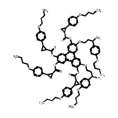 CCCCOc1ccc(C(C)CCOc2cc3c4cc(OCCC(C)c5ccc(OCCCC)cc5)c(OC(=O)C5CC5c5ccc(OCCCC)cc5)cc4c4cc(OC(=O)C5CC5c5ccc(OCCCC)cc5)c(OC(=O)C5CC5c5ccc(OCCCC)cc5)cc4c3cc2OC(=O)C2CC2c2ccc(OCCCC)cc2)cc1